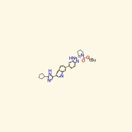 CC(C)(C)OC(=O)N1CCC[C@H]1c1nc2ccc(-c3ccc4cc(-c5cnc(C6CCCC6)[nH]5)cnc4c3)cc2[nH]1